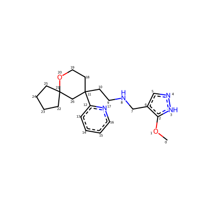 COc1[nH]ncc1CNCCC1(c2ccccn2)CCOC2(CCCC2)C1